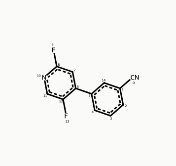 N#Cc1cccc(-c2cc(F)ncc2F)c1